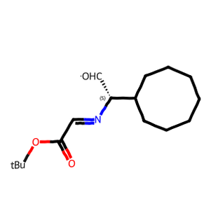 CC(C)(C)OC(=O)C=N[C@H]([C]=O)C1CCCCCCC1